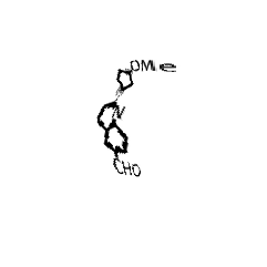 CO[C@@H]1CC[C@@H](c2ccc3cc(C=O)ccc3n2)C1